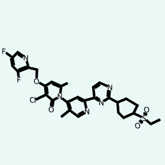 CCS(=O)(=O)C1CCC(c2nccc(-c3cc(-n4c(C)cc(OCc5ncc(F)cc5F)c(Cl)c4=O)c(C)cn3)n2)CC1